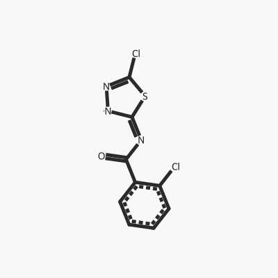 O=C(N=C1[N]N=C(Cl)S1)c1ccccc1Cl